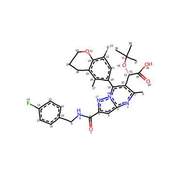 Cc1nc2cc(C(=O)NCc3ccc(F)cc3)nn2c(-c2cc(F)c3c(c2C)CCCO3)c1[C@H](OC(C)(C)C)C(=O)O